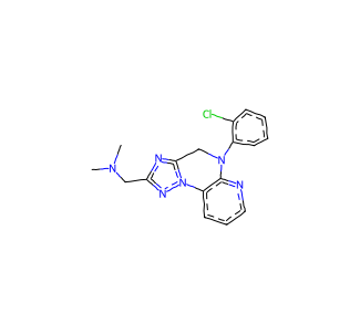 CN(C)Cc1nc2n(n1)-c1cccnc1N(c1ccccc1Cl)C2